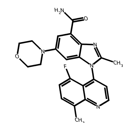 Cc1ccc(F)c2c(-n3c(C)nc4c(C(N)=O)cc(N5CCOCC5)cc43)ccnc12